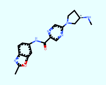 CN[C@@H]1CCN(c2cnc(C(=O)Nc3ccc4nc(C)oc4c3)cn2)C1